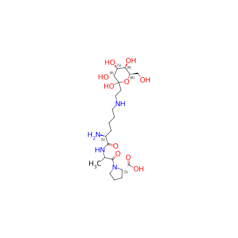 CC(NC(=O)[C@@H](N)CCCCNCCC1(O)O[C@H](CO)[C@H](O)[C@H](O)[C@H]1O)C(=O)N1CCC[C@H]1C(=O)O